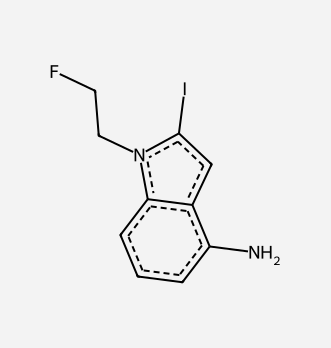 Nc1cccc2c1cc(I)n2CCF